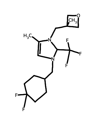 CC1=CN(CC2CCC(F)(F)CC2)C(C(F)(F)F)N1CC1(C)COC1